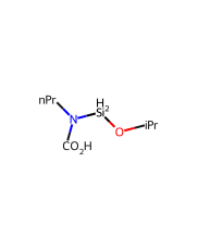 CCCN([SiH2]OC(C)C)C(=O)O